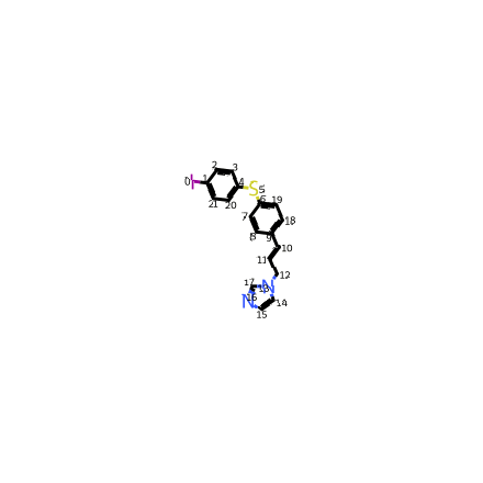 Ic1ccc(Sc2ccc(C=CCn3ccnc3)cc2)cc1